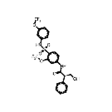 O=C(Nc1ccc(S(=O)(=O)Nc2cccc(OC(F)(F)F)c2)c(OC(F)(F)F)c1)[C@@H](CO)c1ccccc1